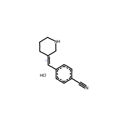 Cl.N#Cc1ccc(/C=C2/CCCNC2)cc1